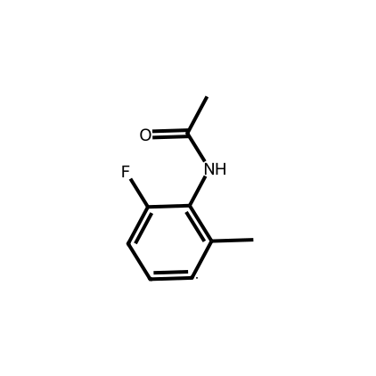 CC(=O)Nc1c(C)[c]ccc1F